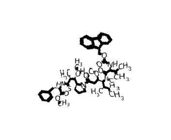 CC[C@H](C)[C@@H](C(CC(=O)N1CCC[C@H]1[C@H](OC)[C@@H](C)C(=S)N[C@@H](Cc1ccccc1)C(=O)OC)OC)N(C)C(=O)[C@@H](NC(=O)OCC1c2ccccc2-c2ccccc21)C(C)C